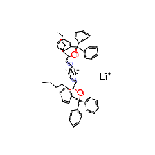 CCCCCC(/C=[CH]/[Al-]([CH3])([CH3])/[CH]=C/C(CCCCC)OC(c1ccccc1)(c1ccccc1)c1ccccc1)OC(c1ccccc1)(c1ccccc1)c1ccccc1.[Li+]